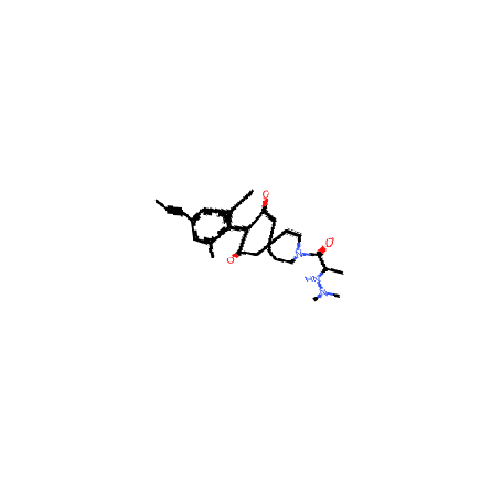 CC#Cc1cc(C)c(C2C(=O)CC3(CCN(C(=O)C(C)NN(C)C)CC3)CC2=O)c(C)c1